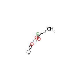 CCCCCCCC[C@H](F)C(=O)O[C@H]1CC[C@H](COc2ccc(C3CC[CH]CC3)cc2)CC1